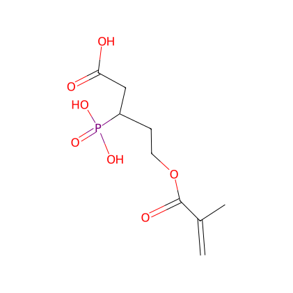 C=C(C)C(=O)OCCC(CC(=O)O)P(=O)(O)O